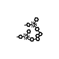 Cc1ccc(-c2nc(Cc3ccc(-c4cccc5c4ccc4c(-c6ccc(-c7nc(-c8ccccc8)nc(-c8ccc(C)cc8)n7)cc6)cccc45)cc3)nc(-c3ccccc3)n2)cc1